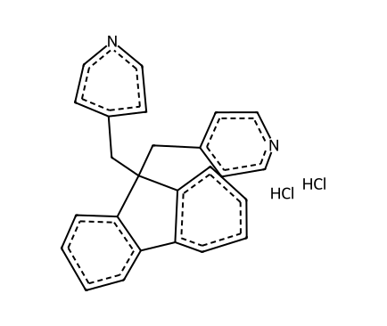 Cl.Cl.c1ccc2c(c1)-c1ccccc1C2(Cc1ccncc1)Cc1ccncc1